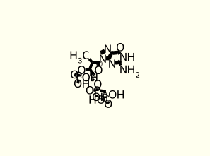 CC1C(OP(=O)(O)O)[C@@H](COP(=O)(O)CP(=O)(O)O)O[C@H]1n1cnc2c(=O)[nH]c(N)nc21